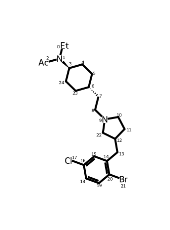 CCN(C(C)=O)[C@H]1CC[C@H](CCN2CCC(Cc3cc(Cl)ccc3Br)C2)CC1